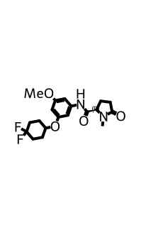 COc1cc(NC(=O)[C@H]2CCC(=O)N2C)cc(OC2CCC(F)(F)CC2)c1